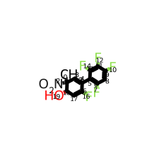 CC1([N+](=O)[O-])C=C(c2c(F)cc(F)c(F)c2F)C(F)=CC1O